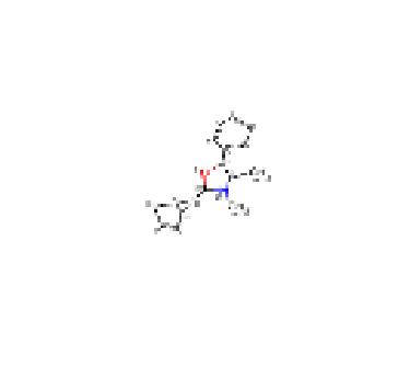 CC1C(c2ccccc2)OC(C2C3C=CCC32)N1C